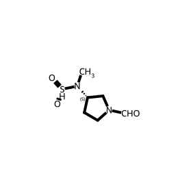 CN([C@H]1CCN(C=O)C1)[SH](=O)=O